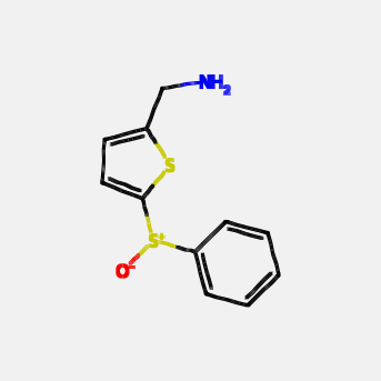 NCc1ccc([S+]([O-])c2ccccc2)s1